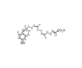 CC(=CCCC(C)=CCCC1(C)CCc2cc(O)cc(C)c2O1)CCC=C(C)C(=O)O